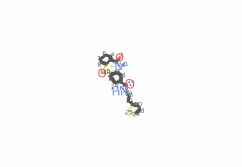 CN1C(=O)c2ccccc2[S+]([O-])c2ccc(C(=O)NCCc3cccs3)cc21